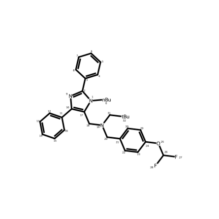 CCCCn1c(-c2ccccc2)nc(-c2ccccc2)c1CN(Cc1ccc(OC(F)F)cc1)CC(C)(C)C